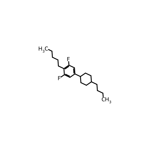 CCCCCc1c(F)cc(C2CCC(CCCC)CC2)cc1F